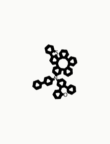 c1ccc(-c2ccc(N(c3ccc4c(c3)-c3ccccc3Oc3ccccc3-4)c3ccc4c(c3)c3ccccc3c3ccccc3c3ccccc3c3c4ccc4c5ccccc5sc43)cc2)cc1